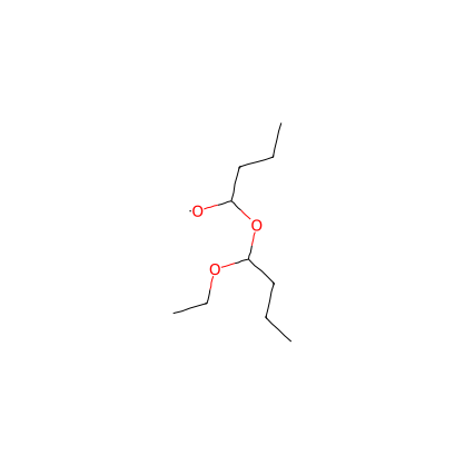 CCCC([O])OC(CCC)OCC